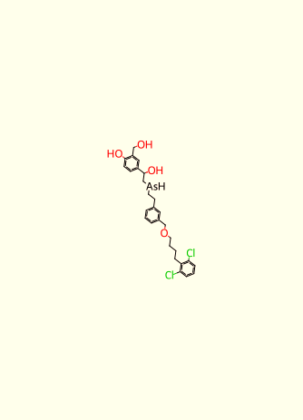 OCc1cc([C@@H](O)C[AsH]CCc2cccc(COCCCCc3c(Cl)cccc3Cl)c2)ccc1O